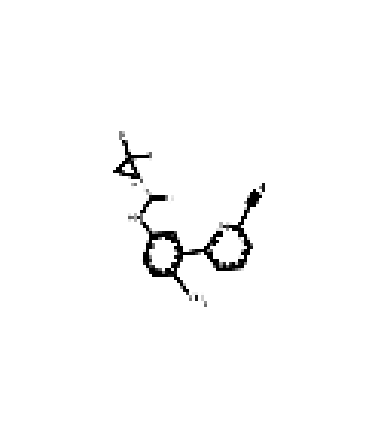 Cc1ccc(NC(=O)[C@@H]2CC2(F)F)cc1-c1cccc(C#N)n1